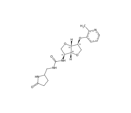 Cc1ncccc1O[C@H]1CO[C@H]2[C@@H]1OC[C@@H]2NC(=O)NCC1CCC(=O)N1